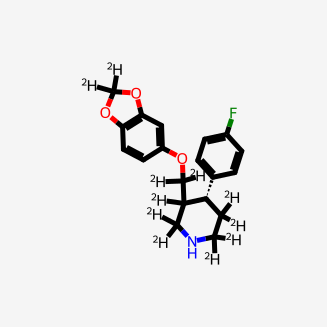 [2H]C1([2H])Oc2ccc(OC([2H])([2H])C3([2H])[C@H](c4ccc(F)cc4)C([2H])([2H])C([2H])([2H])NC3([2H])[2H])cc2O1